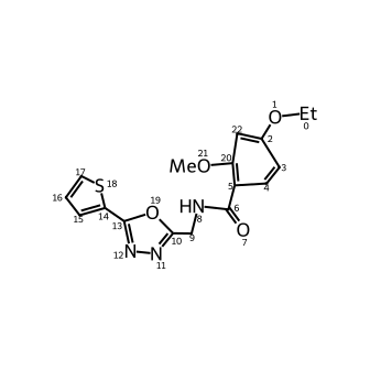 [CH2]COc1ccc(C(=O)NCc2nnc(-c3cccs3)o2)c(OC)c1